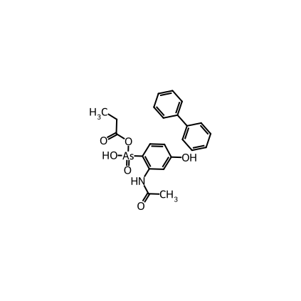 CCC(=O)O[As](=O)(O)c1ccc(O)cc1NC(C)=O.c1ccc(-c2ccccc2)cc1